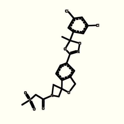 CC1(c2cc(Cl)cc(Cl)c2)ON=C(c2ccc3c(c2)COC32CN(C(=O)CS(C)(=O)=O)C2)O1